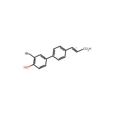 CC(C)(C)c1cc(-c2ccc(/C=C/C(=O)O)cc2)ccc1O